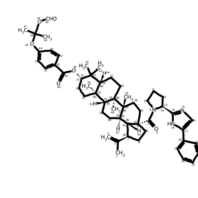 C=C(C)[C@@H]1CC[C@]2(C(=O)N3CCC[C@H]3c3ncc(-c4ccccc4)[nH]3)CC[C@]3(C)[C@H](CC[C@@H]4[C@@]5(C)CC[C@H](OC(=O)c6ccc(OC(C)(C)OC=O)cc6)C(C)(C)[C@@H]5CC[C@]43C)[C@@H]12